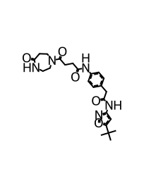 CC(C)(C)c1cc(NC(=O)Cc2ccc(NC(=O)CCC(=O)N3CCNC(=O)CC3)cc2)no1